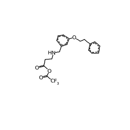 O=C(CCNCc1cccc(OCCc2ccccc2)c1)OC(=O)C(F)(F)F